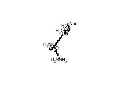 CCCCCCCCC[C@@H]1CC2CCC3C(C(=O)OCCCCCCCCCC4N=C(N)N5CCCC5=C4C(=O)OCCCCN=C(N)N)[C@H](C)N=C(N1)N23